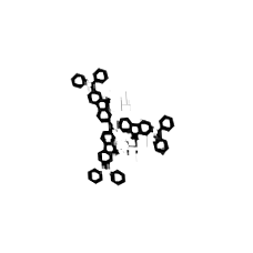 CC1(C)c2cc(N(c3ccccc3)c3ccccc3)ccc2-c2ccc(N(c3ccc4c(c3)C(C)(C)c3cc(N(c5ccccc5)c5ccccc5)ccc3-4)c3ccc4c(c3)C(C)(C)c3cc(N(c5ccccc5)c5ccccc5)ccc3-4)cc21